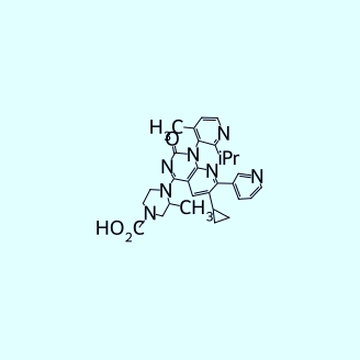 Cc1ccnc(C(C)C)c1-n1c(=O)nc(N2CCN(C(=O)O)CC2C)c2cc(C3CC3)c(-c3cccnc3)nc21